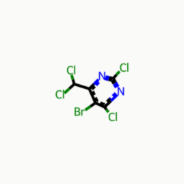 Clc1nc(Cl)c(Br)c(C(Cl)Cl)n1